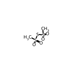 CS(=O)(=O)SS(C)(=O)=O